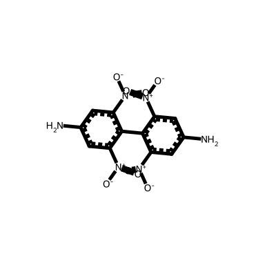 Nc1cc([N+](=O)[O-])c(-c2c([N+](=O)[O-])cc(N)cc2[N+](=O)[O-])c([N+](=O)[O-])c1